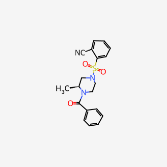 C[C@H]1CN(S(=O)(=O)c2ccccc2C#N)CCN1C(=O)c1ccccc1